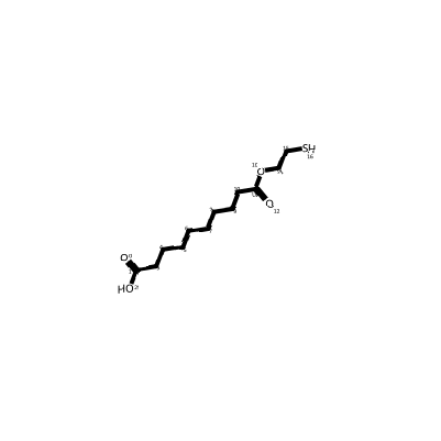 O=C(O)CCCCCCCCC(=O)OCCS